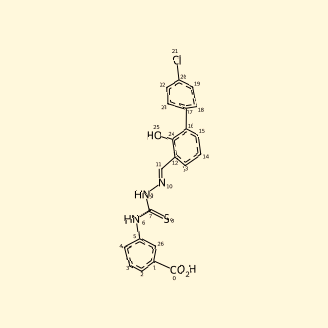 O=C(O)c1cccc(NC(=S)NN=Cc2cccc(-c3ccc(Cl)cc3)c2O)c1